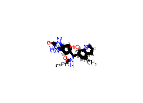 CCCC(=O)NC(c1ccc2[nH]c(=O)[nH]c2c1)c1cc(C)c2cccnc2c1O